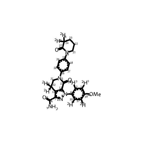 [2H]c1c([2H])c(-n2nc(C(N)=O)c3c2C(=O)N(c2ccc(N4CCCC([2H])([2H])C4=O)cc2)CC3([2H])[2H])c([2H])c([2H])c1OC